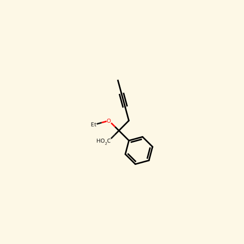 CC#CCC(OCC)(C(=O)O)c1ccccc1